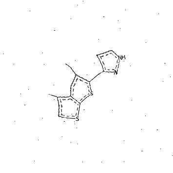 Cc1csc2sc(-c3cc[nH]n3)c(C)c12